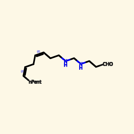 CCCCC/C=C\C/C=C\CCNCNCCC=O